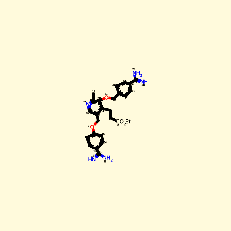 CCOC(=O)CCc1c(COc2ccc(C(=N)N)cc2)cnc(C)c1OCc1ccc(C(=N)N)cc1